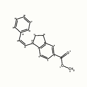 COC(=O)c1ccc2c(c1)CCN2/C=C\c1ccccc1